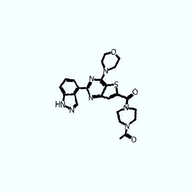 CC(=O)N1CCN(C(=O)c2cc3nc(-c4cccc5[nH]ncc45)nc(N4CCOCC4)c3s2)CC1